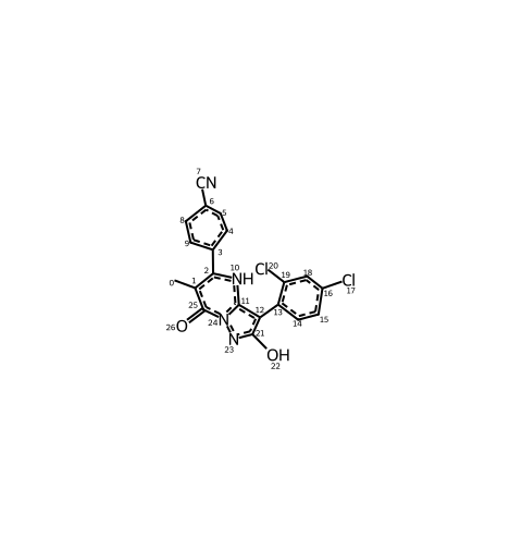 Cc1c(-c2ccc(C#N)cc2)[nH]c2c(-c3ccc(Cl)cc3Cl)c(O)nn2c1=O